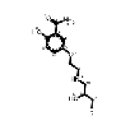 NC(=O)c1cc(OCCNCC(O)CCl)ccc1O